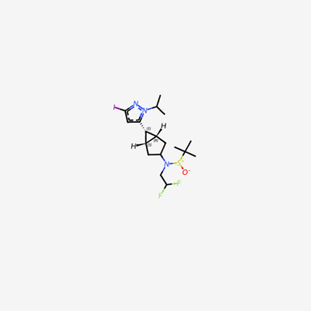 CC(C)n1nc(I)cc1[C@@H]1[C@@H]2CC(N(CC(F)F)[S+]([O-])C(C)(C)C)C[C@@H]21